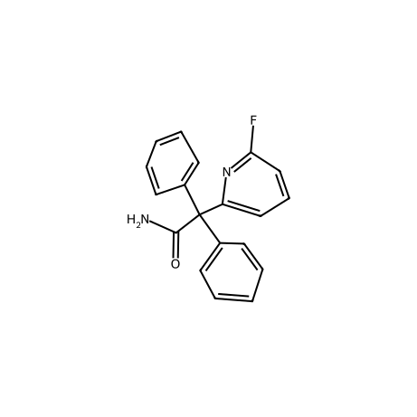 NC(=O)C(c1ccccc1)(c1ccccc1)c1cccc(F)n1